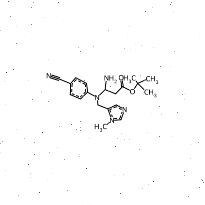 Cn1cncc1CN(c1ccc(C#N)cc1)C(N)CC(=O)OC(C)(C)C